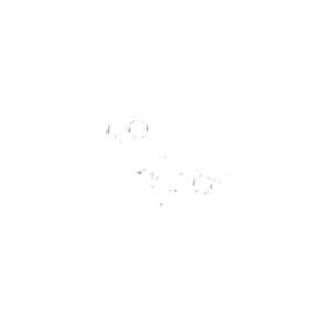 CCCC(=O)Nc1cc(Cl)ccc1OCC(=O)N1CC(C)N(Cc2ccc(F)cc2)CC1C